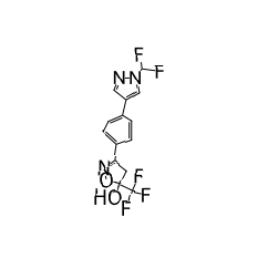 OC1(C(F)(F)F)CC(c2ccc(-c3cnn(C(F)F)c3)cc2)=NO1